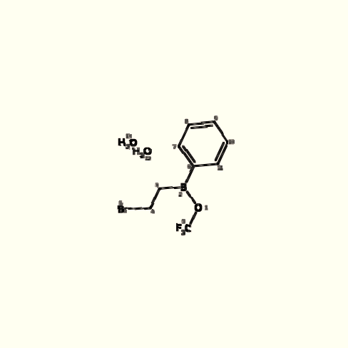 FC(F)(F)OB(CCBr)c1ccccc1.O.O